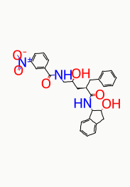 O=C(NC[C@@H](O)C[C@@H](Cc1ccccc1)C(=O)N[C@H]1c2ccccc2C[C@H]1O)c1cccc([N+](=O)[O-])c1